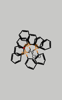 O=[CH][Pd]([PH](c1ccccc1)(c1ccccc1)c1ccccc1)([PH](c1ccccc1)(c1ccccc1)c1ccccc1)[PH](c1ccccc1)(c1ccccc1)c1ccccc1